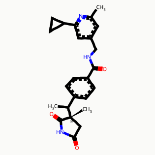 Cc1cc(CNC(=O)c2ccc(C(C)[C@]3(C)CC(=O)NC3=O)cc2)cc(C2CC2)n1